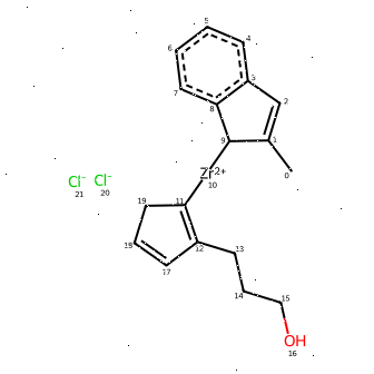 CC1=Cc2ccccc2[CH]1[Zr+2][C]1=C(CCCO)C=CC1.[Cl-].[Cl-]